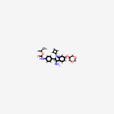 CC(OC(=O)Nc1ccc(-c2c(N)c3ccc(OC4COCOC4)cc3n2C2CCC2)cc1)C(C)(C)C